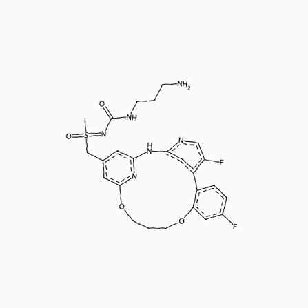 CS(=O)(Cc1cc2nc(c1)OCCCOc1cc(F)ccc1-c1cc(ncc1F)N2)=NC(=O)NCCCN